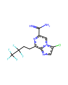 N=C(N)c1cn2c(Cl)cnc2c(CCC(F)(F)C(F)(F)F)n1